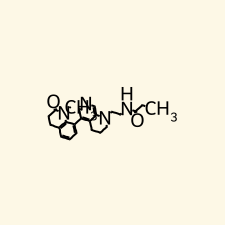 CCC(=O)NCCN1CCCc2c(-c3cccc4c3N(C)C(=O)CC4)cncc21